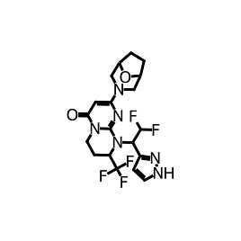 O=c1cc(N2CC3CCC(C2)O3)nc2n1CCC(C(F)(F)F)N2C(c1cc[nH]n1)C(F)F